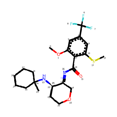 COc1cc(C(F)(F)F)cc(SC)c1C(=O)/N=C1\COCC[C@H]1NC1(C)CCCCC1